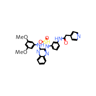 COc1cc(Nc2nc3ccccc3nc2N(c2cccc(NC(=O)Cc3ccncc3)c2)[SH](=O)=O)cc(OC)c1